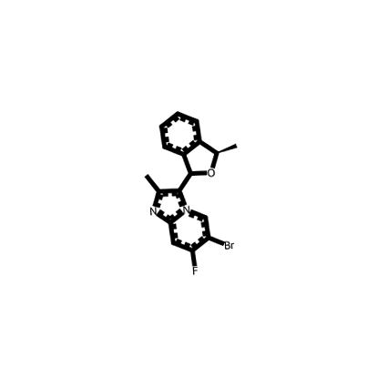 Cc1nc2cc(F)c(Br)cn2c1C1O[C@H](C)c2ccccc21